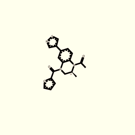 CC(=O)N1c2ccc(-c3cnsc3)cc2N(C(=O)c2ccco2)C[C@@H]1C